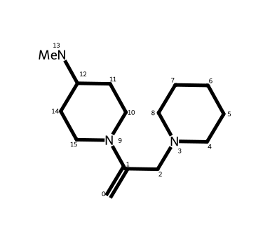 C=C(CN1CCCCC1)N1CCC(NC)CC1